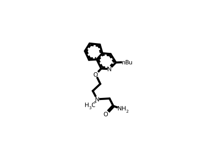 CCCCc1cc2ccccc2c(OCCN(C)CC(N)=O)n1